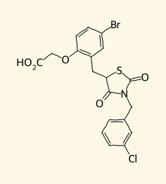 O=C(O)COc1ccc(Br)cc1CC1SC(=O)N(Cc2cccc(Cl)c2)C1=O